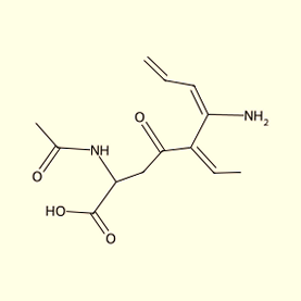 C=C/C=C(N)\C(=C/C)C(=O)CC(NC(C)=O)C(=O)O